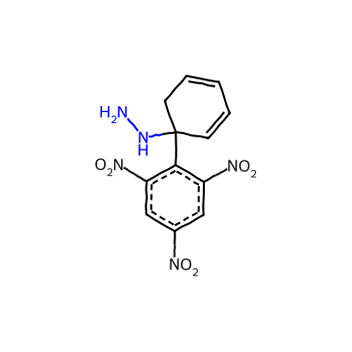 NNC1(c2c([N+](=O)[O-])cc([N+](=O)[O-])cc2[N+](=O)[O-])C=CC=CC1